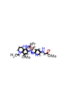 C=CN1CCCc2c(NC(=O)CCC)c(N=Nc3ncc(NCC(=O)OC)cc3C)cc(OC)c21